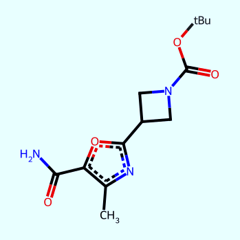 Cc1nc(C2CN(C(=O)OC(C)(C)C)C2)oc1C(N)=O